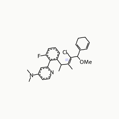 COC(C1=CCCC=C1)/C(Cl)=C(\C)C(C)c1cccc(F)c1-c1cc(N(C)C)ccn1